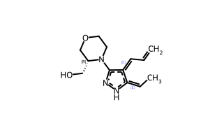 C=C/C=c1/c(N2CCOC[C@H]2CO)n[nH]/c1=C/C